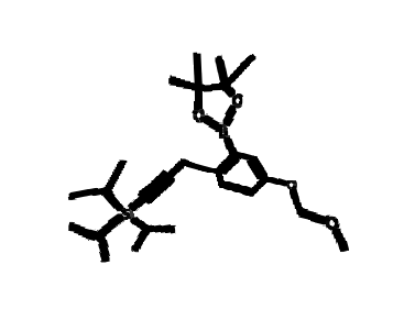 COCOc1ccc(CC#C[Si](C(C)C)(C(C)C)C(C)C)c(B2OC(C)(C)C(C)(C)O2)c1